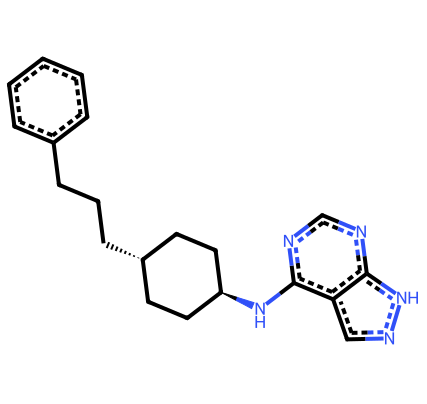 c1ccc(CCC[C@H]2CC[C@H](Nc3ncnc4[nH]ncc34)CC2)cc1